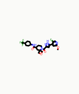 COc1cc(-c2cc(C(=O)N3CCC(C(=O)NC4CCC(C(F)(F)F)CC4)CC34COC4)n[nH]2)c(F)cn1